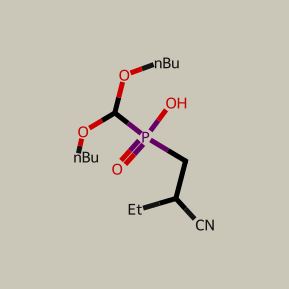 CCCCOC(OCCCC)P(=O)(O)CC(C#N)CC